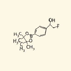 CC1(C)OB(c2ccc(C(O)CF)cc2)OC1(C)C